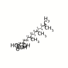 CC(C)=CCC/C(C)=C/CC/C(C)=C/CCC(O)CP(=O)(O)O